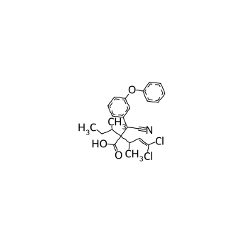 CCC(C)C(C(=O)O)(C(C)C=C(Cl)Cl)C(C#N)c1cccc(Oc2ccccc2)c1